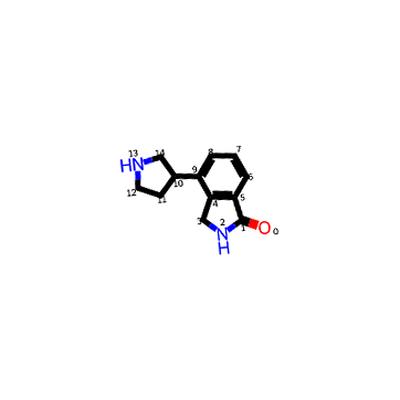 O=C1NCc2c1cccc2C1CCNC1